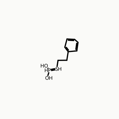 O[PH](O)=[SH]CCc1ccccc1